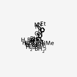 BC(B)(B)C(B)(B)N(c1cc2c(c(CNC)n1)CN(c1cccc(-c3nncn3CC)n1)C2=O)C(B)(B)C(B)(B)B